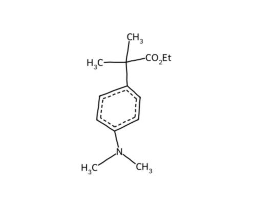 CCOC(=O)C(C)(C)c1ccc(N(C)C)cc1